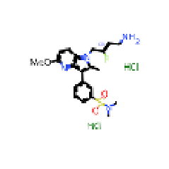 COc1ccc2c(n1)c(-c1cccc(S(=O)(=O)N(C)C)c1)c(C)n2C/C(F)=C/CN.Cl.Cl